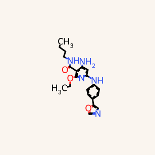 CCCCNC(=O)c1c(N)cc(Nc2ccc(-c3cnco3)cc2)nc1OCC